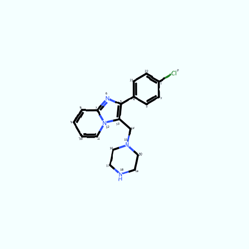 Clc1ccc(-c2nc3ccccn3c2CN2CCNCC2)cc1